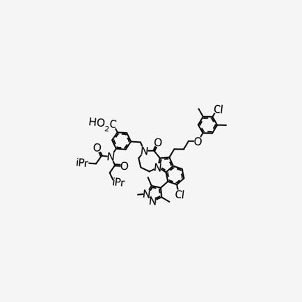 Cc1cc(OCCCc2c3n(c4c(-c5c(C)nn(C)c5C)c(Cl)ccc24)CCCN(Cc2cc(C(=O)O)cc(N(C(=O)CC(C)C)C(=O)CC(C)C)c2)C3=O)cc(C)c1Cl